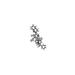 C=C(c1ccccc1)N1CC(=O)[C@@H]2[C@H]1CCN2C(=O)[C@H](CC(C)C)NC(=O)c1ccc2ccccc2n1